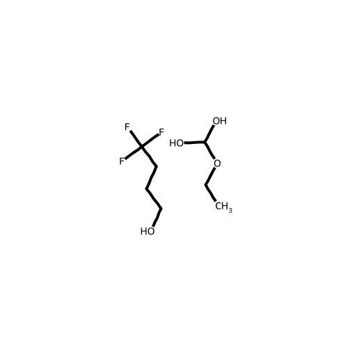 CCOC(O)O.OCCCC(F)(F)F